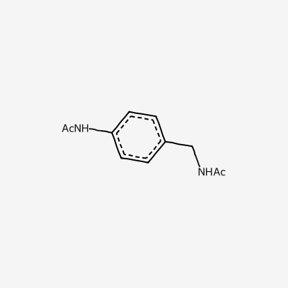 CC(=O)NCc1ccc(NC(C)=O)cc1